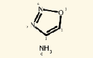 N.c1conn1